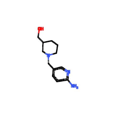 Nc1ccc(CN2CCCC(CO)C2)cn1